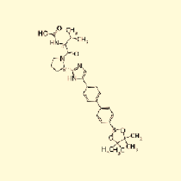 CC(C)[C@H](NC(=O)O)C(=O)N1CCC[C@H]1c1ncc(-c2ccc(-c3ccc(B4OC(C)(C)C(C)(C)O4)cc3)cc2)[nH]1